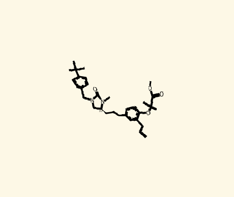 C=CCc1cc(CCC[C@H]2CN(Cc3ccc(C(C)(C)C)cc3)C(=O)N2C)ccc1OC(C)(C)C(=O)OC